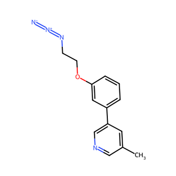 Cc1cncc(-c2cccc(OCCN=[N+]=[N-])c2)c1